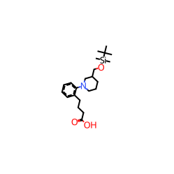 CC(C)(C)[Si](C)(C)OCC1CCCN(c2ccccc2CCCC(=O)O)C1